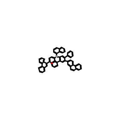 c1ccc(-c2cc(N(c3ccc(-c4cc5ccccc5c5ccccc45)cc3)c3cccc4ccccc34)c(-c3ccccc3)cc2-c2ccc3c(ccc4ccccc43)c2)cc1